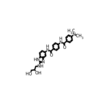 CN(C)c1ccc(C(=O)Nc2ccc(C(=O)Nc3ccc4[nH]c(NCC(O)CO)nc4c3)cc2)cc1